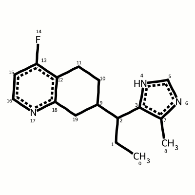 CCC(c1[nH]cnc1C)C1CCc2c(F)ccnc2C1